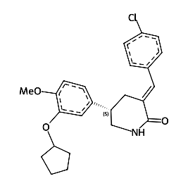 COc1ccc([C@H]2CNC(=O)C(=Cc3ccc(Cl)cc3)C2)cc1OC1CCCC1